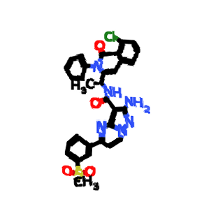 C[C@H](NC(=O)c1c(N)nn2ccc(-c3cccc(S(C)(=O)=O)c3)nc12)c1cc2cccc(Cl)c2c(=O)n1-c1ccccc1